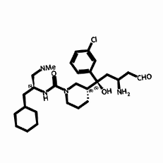 CNC[C@H](CC1CCCCC1)NC(=O)N1CCC[C@@H]([C@@](O)(CC(N)CC=O)c2cccc(Cl)c2)C1